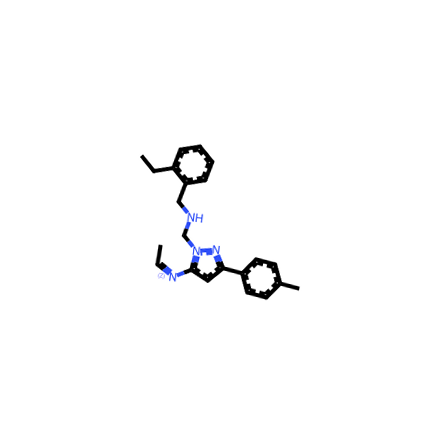 C/C=N\c1cc(-c2ccc(C)cc2)nn1CNCc1ccccc1CC